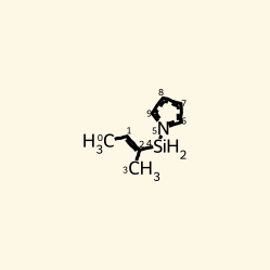 CC=C(C)[SiH2]n1cccc1